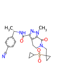 C[C@H](NC(=O)c1nn(C)c2c1CCN(CC1(S(=O)(=O)C3CC3)CC1)C2=O)c1ccc(C#N)cc1